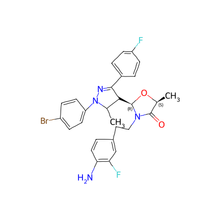 CC1C([C@H]2O[C@@H](C)C(=O)N2CCc2ccc(N)c(F)c2)C(c2ccc(F)cc2)=NN1c1ccc(Br)cc1